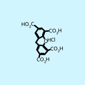 Cl.O=C(O)c1cc2c(c(C(=O)O)c1)Oc1c(cc(C(=O)O)cc1C(=O)O)C2